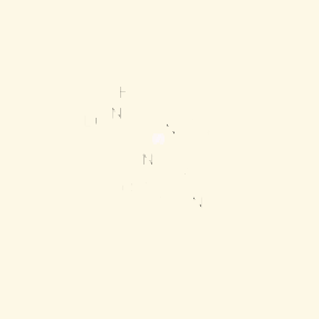 CCN(CC)CCn1c(=O)c2cccnc2s/c1=N\c1ccccc1